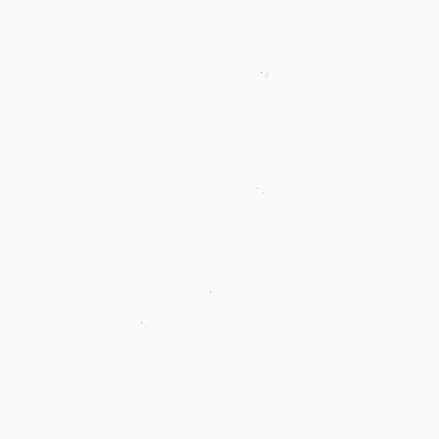 COc1cc(NC(=O)CCN(C)C2CC#CCC2)c(Cl)cc1CNC[C@H](O)c1ccc(O)c2[nH]c(=O)ccc12